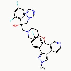 Cn1cc(-c2ccncc2COC2CCN(CC(O)(Cn3cncn3)c3ccc(F)cc3F)CC2)c(-c2ccc(F)cc2)n1